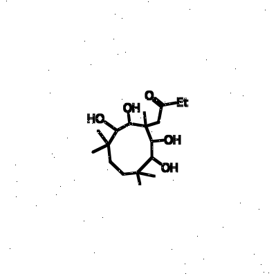 CCC(=O)CC1(C)C(O)C(O)C(C)(C)CCC(C)(C)C(O)C1O